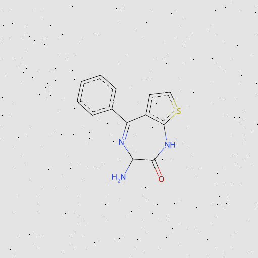 NC1N=C(c2ccccc2)c2ccsc2NC1=O